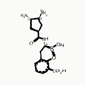 N[C@H]1CC(C(=O)N[C@H]2Cc3cccc(C(=O)O)c3OB2O)C[C@@H]1N